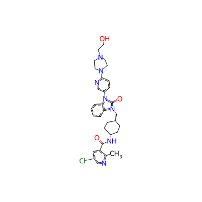 Cc1ncc(Cl)cc1C(=O)N[C@H]1CC[C@H](Cn2c(=O)n(-c3ccc(N4CCN(CCO)CC4)nc3)c3ccccc32)CC1